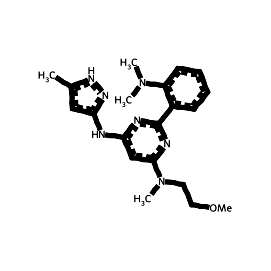 COCCN(C)c1cc(Nc2cc(C)[nH]n2)nc(-c2ccccc2N(C)C)n1